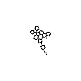 N#Cc1ccc(-c2cccc(-c3nc4ccccc4c4ccc5c(c34)-c3ccccc3C5(c3ccccc3)c3ccccc3)c2)cc1